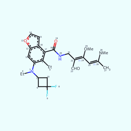 CCc1c(N(CC)C2CC(F)(F)C2)cc2occc2c1C(=O)NC/C(C=O)=C(/C=C(/C)NC)OC